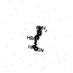 Br.N#Cc1ccc2[nH]cc(CCCCN3CCN(c4ccc5oc(C(N)=O)cc5c4)CC3)c2c1